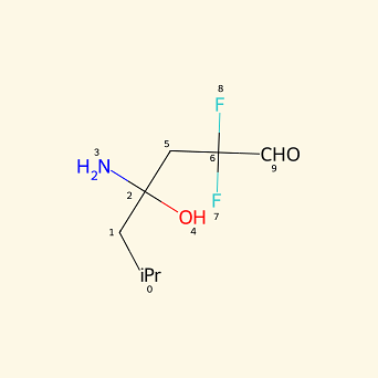 CC(C)CC(N)(O)CC(F)(F)C=O